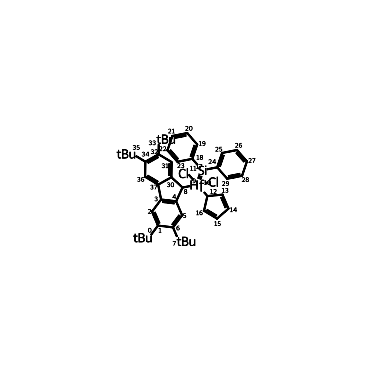 CC(C)(C)c1cc2c(cc1C(C)(C)C)[CH]([Hf]([Cl])([Cl])([CH]1C=CC=C1)=[Si](c1ccccc1)c1ccccc1)c1cc(C(C)(C)C)c(C(C)(C)C)cc1-2